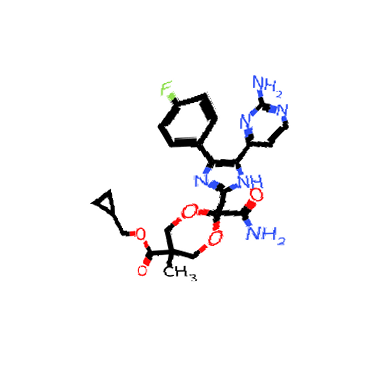 CC1(C(=O)OCC2CC2)COC(C(N)=O)(c2nc(-c3ccc(F)cc3)c(-c3ccnc(N)n3)[nH]2)OC1